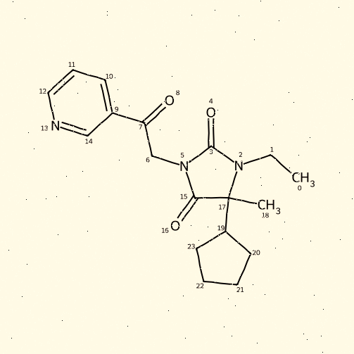 CCN1C(=O)N(CC(=O)c2cccnc2)C(=O)C1(C)C1CCCC1